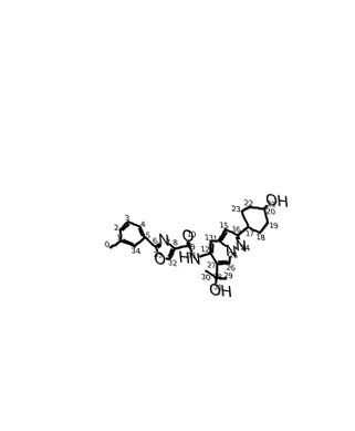 Cc1cccc(-c2nc(C(=O)Nc3cc4cc(C5CCC(O)CC5)nn4cc3C(C)(C)O)co2)c1